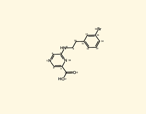 O=C(O)c1cncc(NCCc2cccc(Br)c2)n1